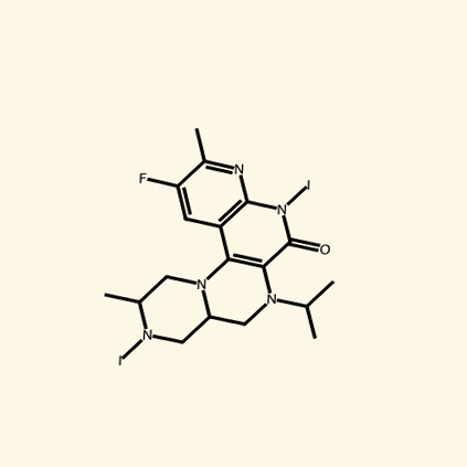 Cc1nc2c(cc1F)c1c(c(=O)n2I)N(C(C)C)CC2CN(I)C(C)CN12